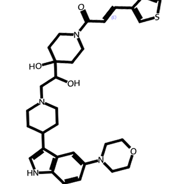 O=C(/C=C/c1ccsc1)N1CCC(O)(C(O)CN2CCC(c3c[nH]c4ccc(N5CCOCC5)cc34)CC2)CC1